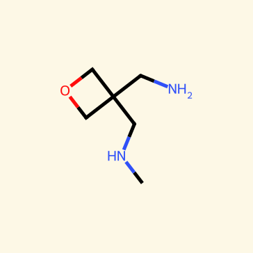 CNCC1(CN)COC1